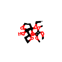 [CH2]COC1(O[Si](OC)(OC)OC)CCOC1(O)C1(O)CCO1